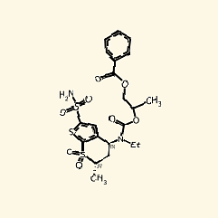 CCN(C(=O)OC(C)COC(=O)c1ccccc1)[C@H]1C[C@H](C)S(=O)(=O)c2sc(S(N)(=O)=O)cc21